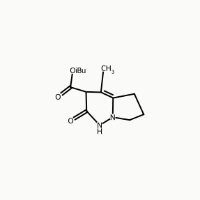 CC1=C2CCCN2NC(=O)C1C(=O)OCC(C)C